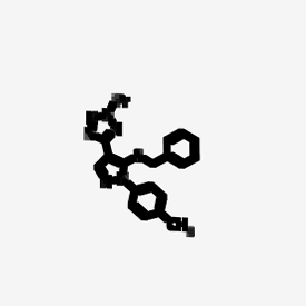 Cc1ccc(-n2ncc(-c3nnn(C(C)C)n3)c2SCc2ccccc2)cc1